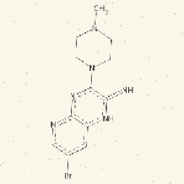 CN1CCN(c2nc3ncc(Br)cc3[nH]c2=N)CC1